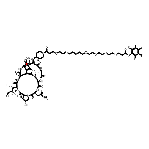 CC[C@H](C)[C@@H]1NC(=O)CNC(=O)[C@@H]2Cc3c([nH]c4c(CSC5CCN(C(=O)CCOCCOCCOCCOCCOCCOCCOCCC(=O)Oc6c(F)c(F)c(F)c(F)c6F)CC5)c(OC)ccc34)[S+]([O-])C[C@@H](NC(=O)CNC1=O)C(=O)N[C@@H](CC(N)=O)C(=O)N1C[C@H](O)C[C@H]1C(=O)N[C@@H]([C@@H](C)[C@@H](O)CO)C(=O)N2